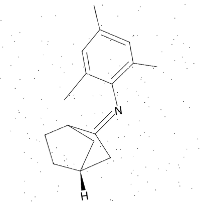 Cc1cc(C)c(/N=C2/C[C@@H]3CCC2C3)c(C)c1